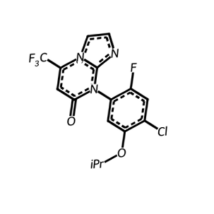 CC(C)Oc1cc(-n2c(=O)cc(C(F)(F)F)n3ccnc23)c(F)cc1Cl